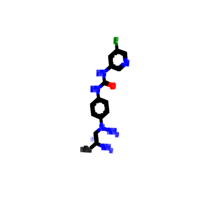 CCCC/C(N)=C/N(N)c1ccc(NC(=O)Nc2cncc(F)c2)cc1